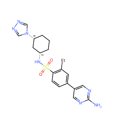 CCc1cc(-c2cnc(N)nc2)ccc1S(=O)(=O)N[C@H]1CCC[C@@H](n2cnnc2)C1